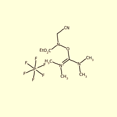 CCOC(=O)N(CC#N)OC(N(C)C)=[N+](C)C.F[P-](F)(F)(F)(F)F